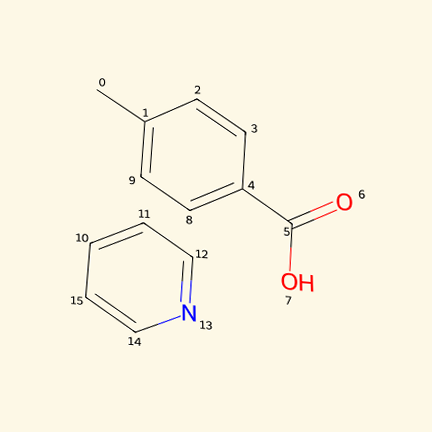 Cc1ccc(C(=O)O)cc1.c1ccncc1